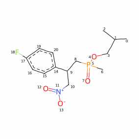 CC(C)COP(C)(=O)CC(C[N+](=O)[O-])c1ccc(F)cc1